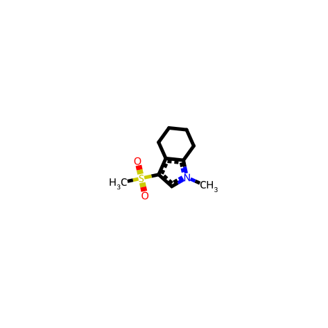 Cn1cc(S(C)(=O)=O)c2c1CCCC2